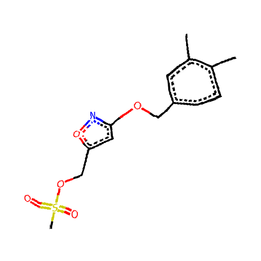 Cc1ccc(COc2cc(COS(C)(=O)=O)on2)cc1C